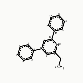 CCc1cc(-c2ccccc2)cc(-c2ccccc2)n1